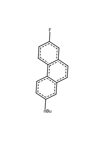 CCCCc1ccc2c(ccc3cc(F)ccc32)c1